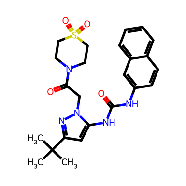 CC(C)(C)c1cc(NC(=O)Nc2ccc3ccccc3c2)n(CC(=O)N2CCS(=O)(=O)CC2)n1